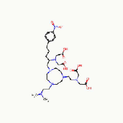 CN(C)CCN1CCN(CCN(CC(=O)O)CC(=O)O)CCN(CC(CCCc2ccc([N+](=O)[O-])cc2)N(CC(=O)O)CC(=O)O)CC1